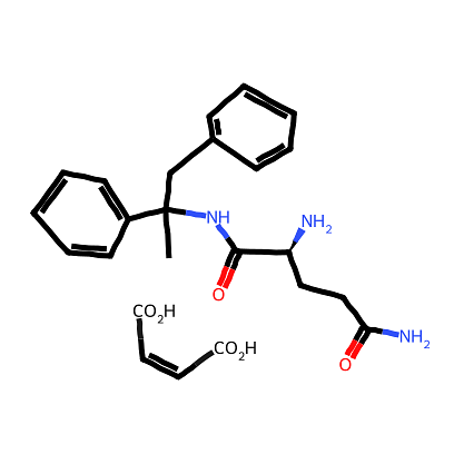 CC(Cc1ccccc1)(NC(=O)[C@@H](N)CCC(N)=O)c1ccccc1.O=C(O)/C=C\C(=O)O